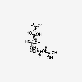 O=C([O-])[O-].OB(O)O.OB(O)O.OB(O)O.OB(O)O.[Li+].[Li+]